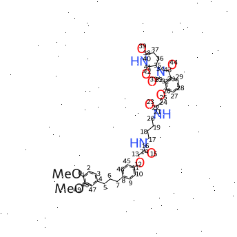 COc1ccc(CCCc2ccc(OCC(=O)NCCCCNC(=O)COc3cccc4c3C(=O)N(C3CCC(=O)NC3=O)C4=O)cc2)cc1OC